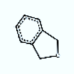 [c]1ccc2c(c1)COC2